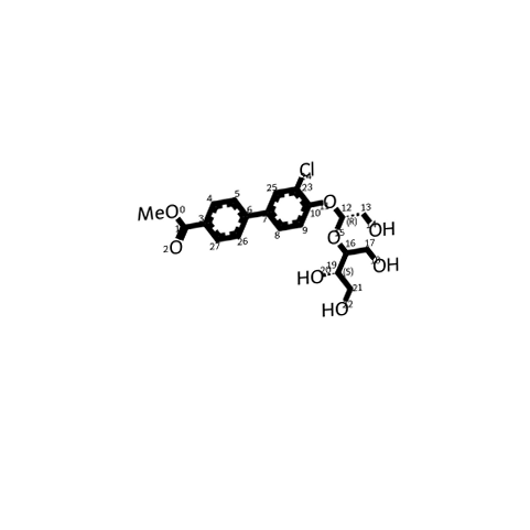 COC(=O)c1ccc(-c2ccc(O[C@H](CO)OC(CO)[C@@H](O)CO)c(Cl)c2)cc1